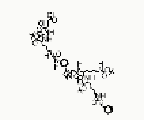 CC(C)(C)OC(=O)NCCCCC(NC(=O)Cn1nncc1-c1cccc(NC(=O)NCCCCC(NC(=O)NC(CCC(=O)O)C(=O)O)C(=O)OC(C)(C)C)c1)C(=O)NC(CCCCNC(=O)OCc1ccccc1)C(=O)OC(C)(C)C